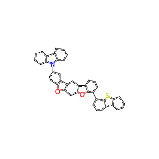 c1ccc2c(c1)sc1c(-c3cccc4c3oc3cc5oc6ccc(-n7c8ccccc8c8ccccc87)cc6c5cc34)cccc12